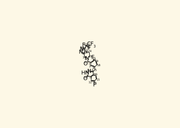 O=C(c1cc(Cc2n[nH]c(=O)c3cc(F)ccc23)ccc1F)N1CCn2c(nnc2C(F)(F)C(F)(F)F)C1